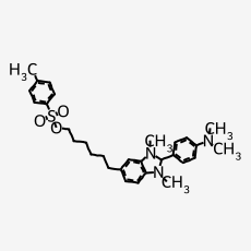 Cc1ccc(S(=O)(=O)OCCCCCCc2ccc3c(c2)N(C)C(c2ccc(N(C)C)cc2)N3C)cc1